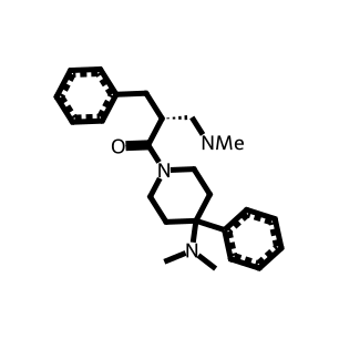 CNC[C@@H](Cc1ccccc1)C(=O)N1CCC(c2ccccc2)(N(C)C)CC1